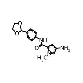 Cn1cc(N)cc1C(=O)Nc1ccc(C2OCCO2)cc1